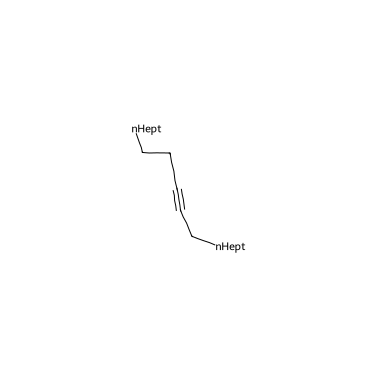 CCCCCCCCC#CCCCCCCCCC